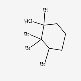 OC1(Br)CCCC(Br)C1(Br)Br